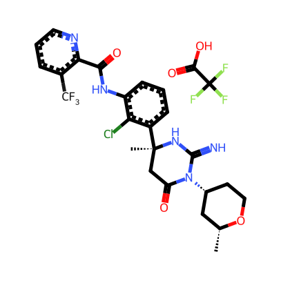 C[C@@H]1C[C@H](N2C(=N)N[C@](C)(c3cccc(NC(=O)c4ncccc4C(F)(F)F)c3Cl)CC2=O)CCO1.O=C(O)C(F)(F)F